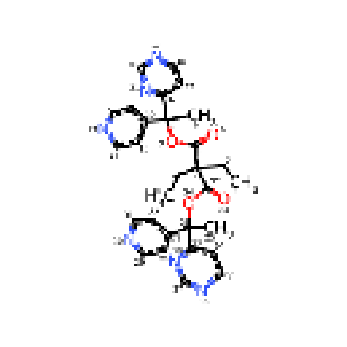 CCC(CC)(C(=O)OC(C)(c1ccncc1)c1ccncn1)C(=O)OC(C)(c1ccncc1)c1ccncn1